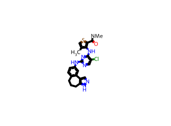 CNC(=O)c1scc(C)c1Nc1nc(Nc2ccc3c(c2)-c2cn[nH]c2CCC3)ncc1Cl